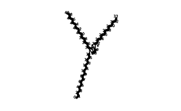 CCCCCCCCCCCCCCCCCn1cc[n+](CCCCCCCCCCCCC)c1CCCCCCCCCCCCCCC